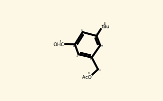 CC(=O)OCc1cc(C=O)cc(C(C)(C)C)c1